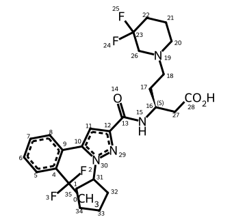 CC(F)(F)c1ccccc1-c1cc(C(=O)N[C@@H](CCN2CCCC(F)(F)C2)CC(=O)O)nn1C1CCCC1